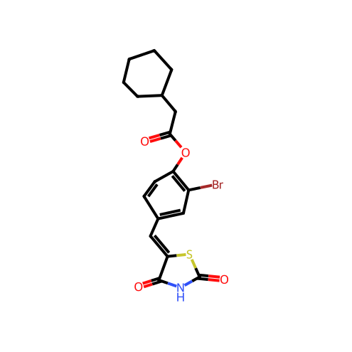 O=C(CC1CCCCC1)Oc1ccc(/C=C2\SC(=O)NC2=O)cc1Br